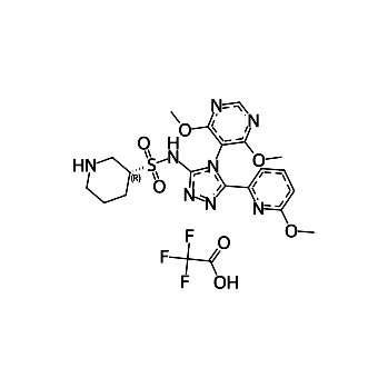 COc1cccc(-c2nnc(NS(=O)(=O)[C@@H]3CCCNC3)n2-c2c(OC)ncnc2OC)n1.O=C(O)C(F)(F)F